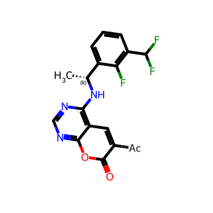 CC(=O)c1cc2c(N[C@H](C)c3cccc(C(F)F)c3F)ncnc2oc1=O